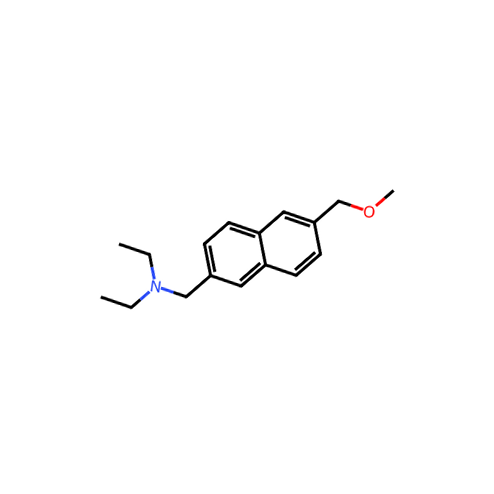 CCN(CC)Cc1ccc2cc(COC)ccc2c1